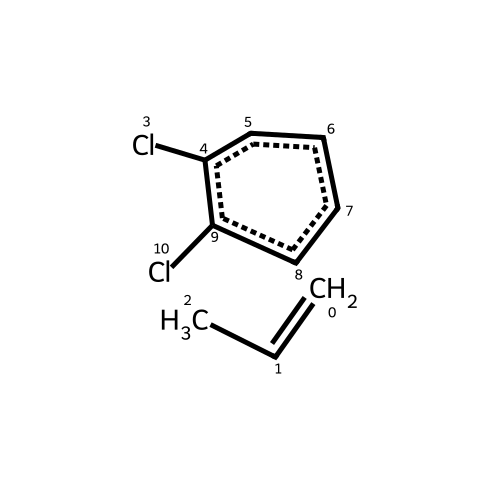 C=CC.Clc1ccccc1Cl